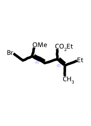 CCOC(=O)C(/C=C(/CBr)OC)=C(/C)CC